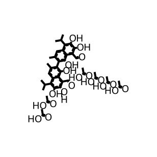 CC(=O)O.CC(=O)O.CC(=O)O.CC(=O)O.CC(=O)O.CC(=O)O.Cc1cc2c(C(C)C)c(O)c(O)c(C=O)c2c(O)c1-c1c(C)cc2c(C(C)C)c(O)c(O)c(C=O)c2c1O